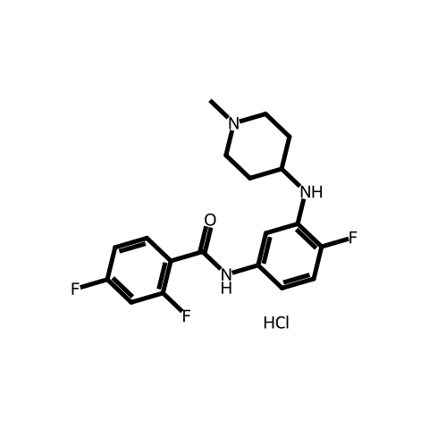 CN1CCC(Nc2cc(NC(=O)c3ccc(F)cc3F)ccc2F)CC1.Cl